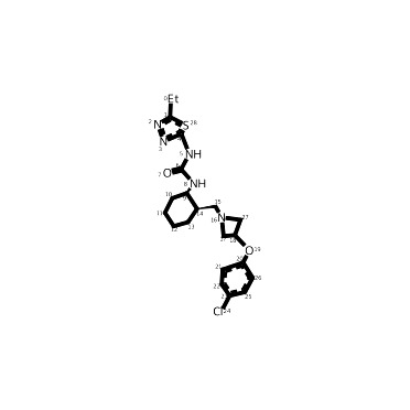 CCc1nnc(NC(=O)N[C@@H]2CCCC[C@@H]2CN2CC(Oc3ccc(Cl)cc3)C2)s1